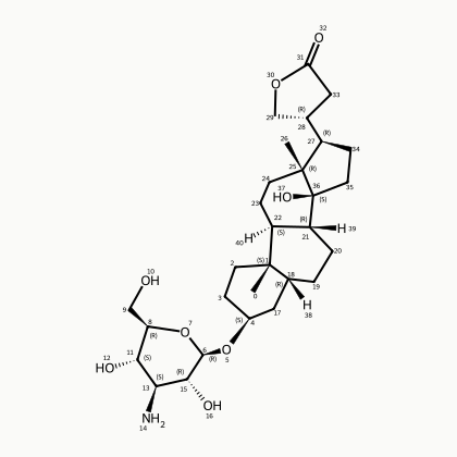 C[C@]12CC[C@H](O[C@@H]3O[C@H](CO)[C@@H](O)[C@H](N)[C@H]3O)C[C@H]1CC[C@@H]1[C@@H]2CC[C@]2(C)[C@@H]([C@@H]3COC(=O)C3)CC[C@]12O